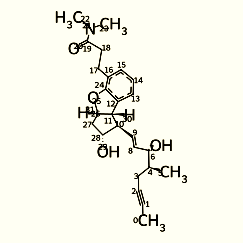 CC#CC[C@H](C)[C@H](O)/C=C/[C@@H]1[C@H]2c3cccc(CCC(=O)N(C)C)c3O[C@H]2C[C@H]1O